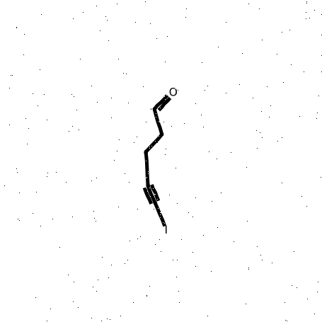 O=[C]CCC#CI